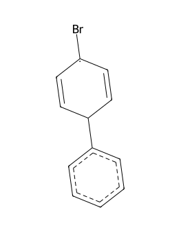 Br[C]1C=CC(c2ccccc2)C=C1